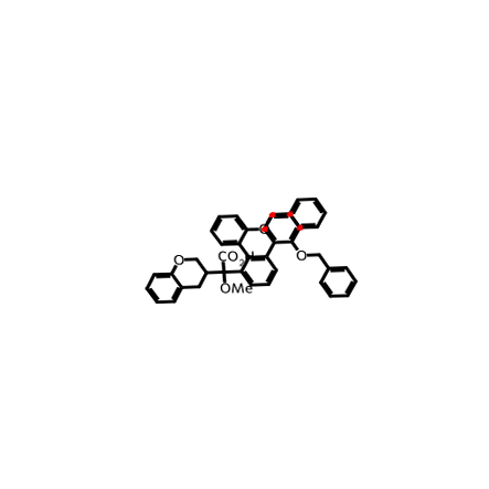 COC(C(=O)O)(c1cccc(-c2ccccc2OCc2ccccc2)c1-c1ccccc1OCc1ccccc1)C1COc2ccccc2C1